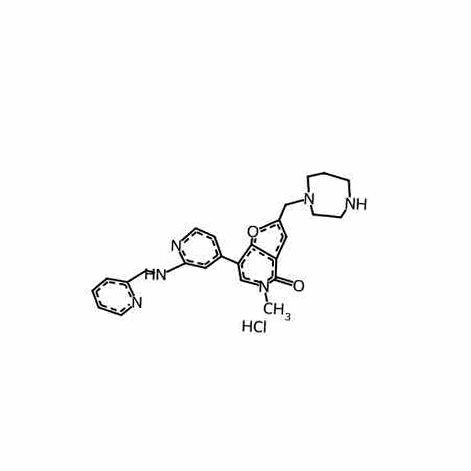 Cl.Cn1cc(-c2ccnc(NCc3ccccn3)c2)c2oc(CN3CCCNCC3)cc2c1=O